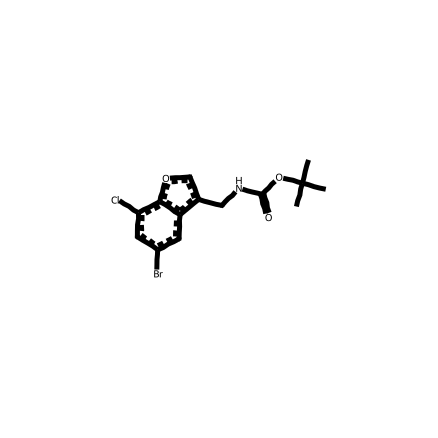 CC(C)(C)OC(=O)NCc1coc2c(Cl)cc(Br)cc12